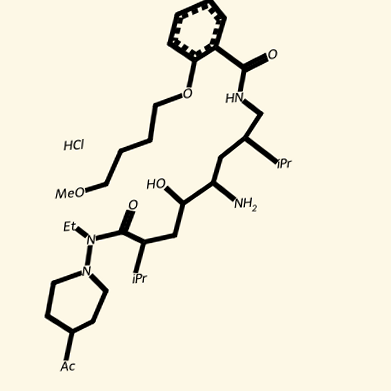 CCN(C(=O)C(CC(O)C(N)CC(CNC(=O)c1ccccc1OCCCCOC)C(C)C)C(C)C)N1CCC(C(C)=O)CC1.Cl